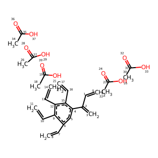 C=CC(=C)c1cc(C=C)c(C=C)c(C=C)c1C=C.CC(=O)O.CC(=O)O.CC(=O)O.CC(=O)O.CC(=O)O